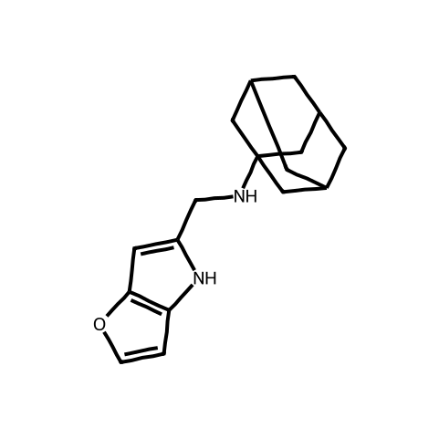 c1cc2[nH]c(CNC34CC5CC(CC(C5)C3)C4)cc2o1